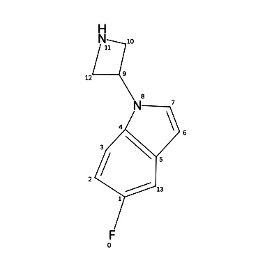 Fc1ccc2c(ccn2C2CNC2)c1